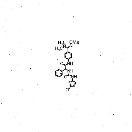 CON=C(c1ccc(NC(=O)C(NC(=O)Nc2ccc(Cl)s2)c2ccccc2)cc1)N(C)C